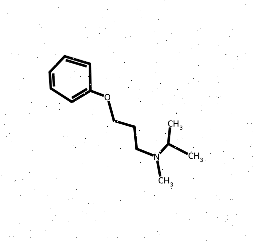 CC(C)N(C)CCCOc1ccccc1